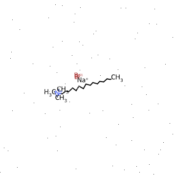 CCCCCCCCCCCCCCCC[N+](C)(C)C.[Br-].[Br-].[Na+]